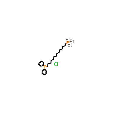 CC[P+](CC)(CC)CCCCCCCCCCCCCCP(c1ccccc1)c1ccccc1.[Cl-]